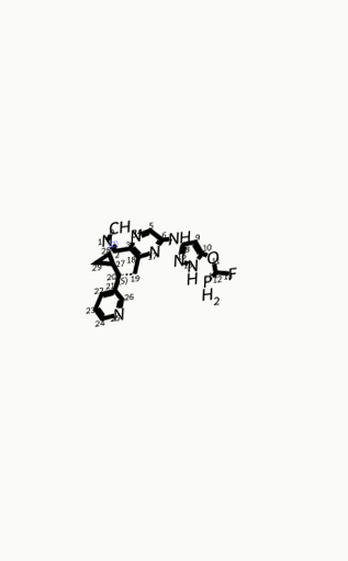 C/N=C\c1ncc(Nc2cc(OC(F)P)[nH]n2)nc1C[C@H](c1cccnc1)C1CC1